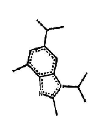 Cc1cc(C(C)C)cc2c1nc(C)n2C(C)C